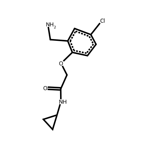 NCc1cc(Cl)ccc1OCC(=O)NC1CC1